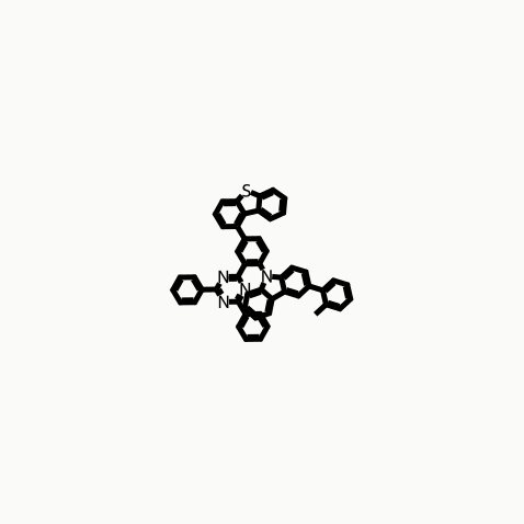 Cc1ccccc1-c1ccc2c(c1)c1ccccc1n2-c1ccc(-c2cccc3sc4ccccc4c23)cc1-c1nc(-c2ccccc2)nc(-c2ccccc2)n1